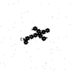 CCn1c2ccccc2c2cc(-c3ccc(-c4ccc(-c5c6ccc(-c7cccc(C)c7)cc6c(-c6ccc(-c7ccccc7)cc6)c6ccc(-c7cccc(C)c7)cc56)cc4)cc3)ccc21